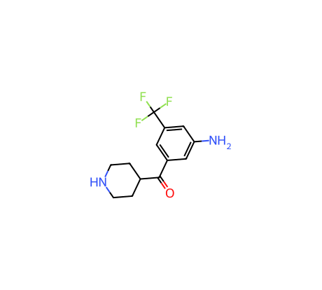 Nc1cc(C(=O)C2CCNCC2)cc(C(F)(F)F)c1